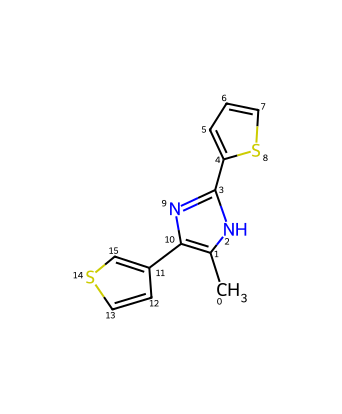 Cc1[nH]c(-c2cccs2)nc1-c1ccsc1